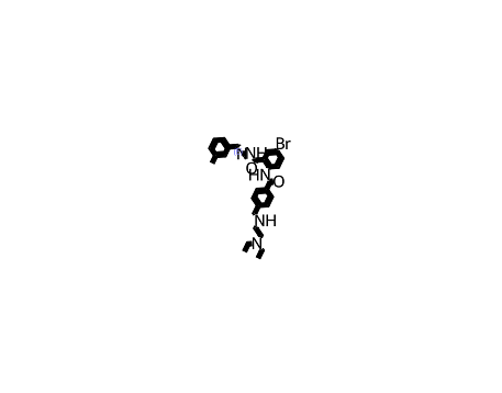 CCN(CC)CCNCc1ccc(C(=O)Nc2ccc(Br)cc2C(=O)N/N=C/c2cccc(C)c2)cc1